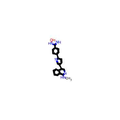 CNc1ncc(-c2ccc(-c3ccc(C(=N)NO)cc3)nc2)c2ccccc12